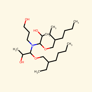 CCCCC(CC)COC(C(C)O)N(CCCO)C(OCC(CC)CCCC)C(C)O